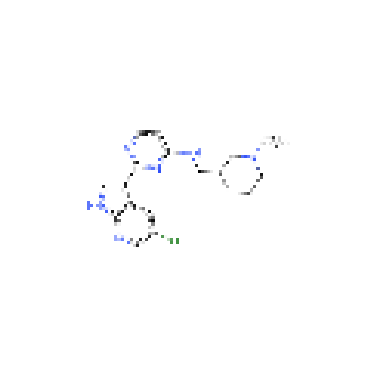 CCOC(=O)N1CCCC(CNc2ccnc(-c3c[nH]c4ncc(Cl)cc34)n2)C1